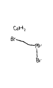 [Br][Pb][Br].[CaH2]